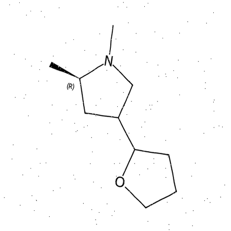 C[C@@H]1CC(C2CCCO2)CN1C